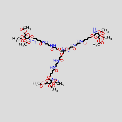 CC(=O)OCC1OC(OCCCCC(=O)NCCCNC(=O)CCOCC(N)(COCCC(=O)NCCCNC(=O)CCCCOC2OC(COC(C)=O)C(OC(C)=O)C(OC(C)=O)C2N)COCCC(=O)NCCCNC(=O)CCCCOC2OC(COC(C)=O)C(OC(C)=O)C(OC(C)=O)C2N)C(N)C(OC(C)=O)C1OC(C)=O